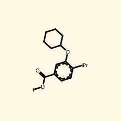 CC(C)c1ccc(C(=O)OI)cc1OC1CCCCC1